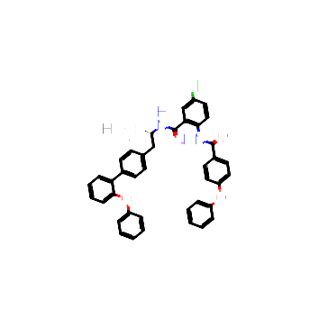 O=C(Nc1ccc(Cl)cc1C(=O)N[C@@H](Cc1ccc(-c2ccccc2Oc2ccccc2)cc1)C(=O)O)c1ccc(Oc2ccccc2)cc1